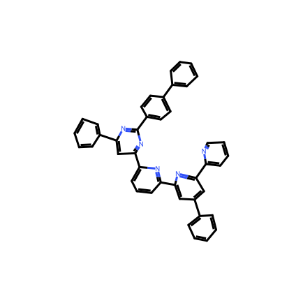 c1ccc(-c2ccc(-c3nc(-c4ccccc4)cc(-c4cccc(-c5cc(-c6ccccc6)cc(-c6ccccn6)n5)n4)n3)cc2)cc1